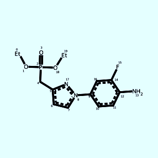 CCOP(=O)(Cc1ccn(-c2ccc(N)c(F)c2)n1)OCC